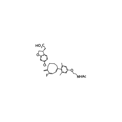 C=C1/C(F)=C\C=C(\c2c(C)cc(OCCNC(C)=O)cc2C)CCC[C@H]1Oc1ccc2c(c1)OC[C@H]2CC(=O)O